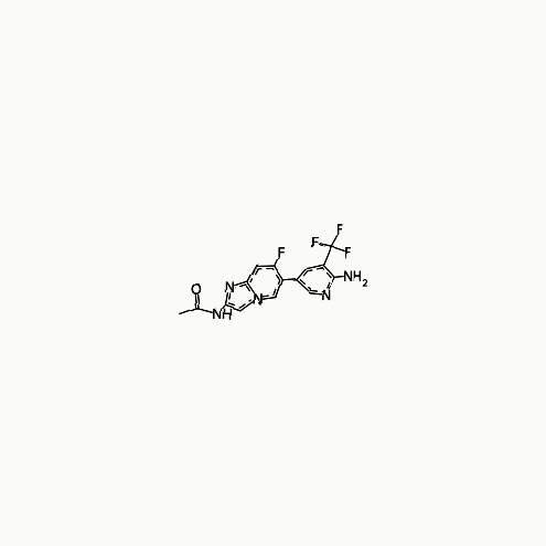 CC(=O)Nc1cn2cc(-c3cnc(N)c(C(F)(F)F)c3)c(F)cc2n1